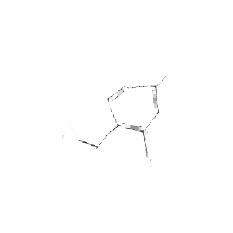 O=CCc1ccc(Cl)cc1[N+](=O)[O-]